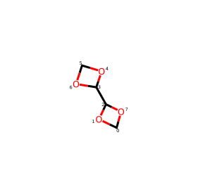 C1OC(C2OCO2)O1